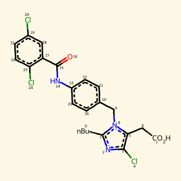 CCCCc1nc(Cl)c(CC(=O)O)n1Cc1ccc(NC(=O)c2cc(Cl)ccc2Cl)cc1